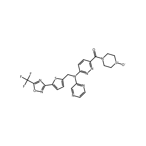 O=C(c1ccc(N(Cc2ccc(-c3noc(C(F)(F)F)n3)s2)c2cnccn2)nn1)N1CC[S+]([O-])CC1